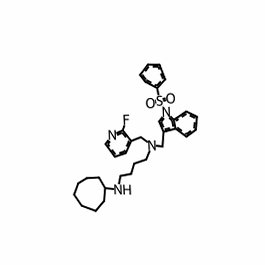 O=S(=O)(c1ccccc1)n1cc(CN(CCCCNC2CCCCCCC2)Cc2cccnc2F)c2ccccc21